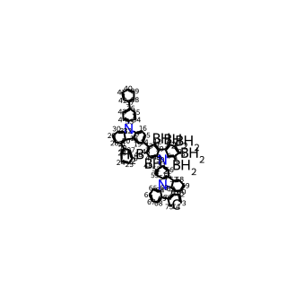 Bc1c(B)c(B)c2c(c1B)c1c(B)c(-c3ccc4c(c3)c3c(-c5ccccc5)cccc3n4-c3ccc(-c4ccccc4)cc3)c(B)c(B)c1n2-c1c#cc2c(c1)c1ccccc1n2-c1ccccc1C1=CC=CCC1